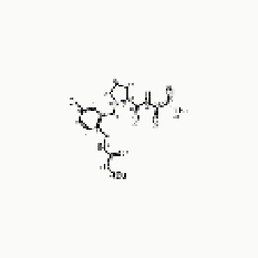 CC(C)(C)OC(=O)NCc1ccc(Cl)cc1CN1CCC[C@H]1C(=O)NC(=O)[C@H](O)C(C)(C)C